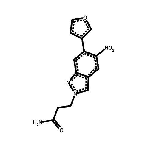 NC(=O)CCn1cc2cc([N+](=O)[O-])c(-c3ccoc3)cc2n1